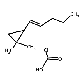 CCCC=CC1CC1(C)C.O=C(O)Cl